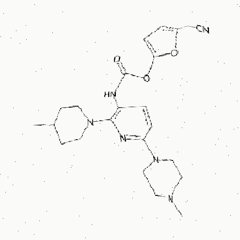 CC1CCN(c2nc(N3CCN(C)CC3)ccc2NC(=O)Oc2ccc(C#N)o2)CC1